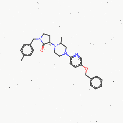 Cc1ccc(CN2CC[C@@H](N3CCN(c4ccc(OCc5ccccc5)cn4)CC3C)C2=O)cc1